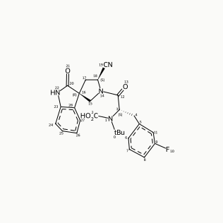 CC(C)(C)N(C(=O)O)[C@@H](Cc1cccc(F)c1)C(=O)N1C[C@]2(C[C@H]1C#N)C(=O)Nc1ccccc12